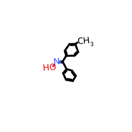 Cc1ccc(/C(=N/O)c2ccccc2)cc1